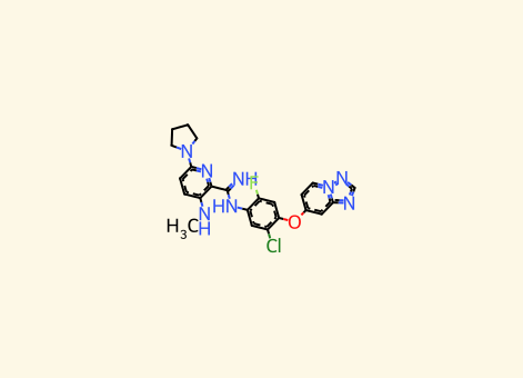 CNc1ccc(N2CCCC2)nc1C(=N)Nc1cc(Cl)c(Oc2ccn3ncnc3c2)cc1F